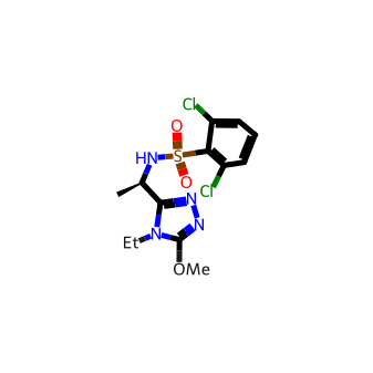 CCn1c(OC)nnc1[C@@H](C)NS(=O)(=O)c1c(Cl)cccc1Cl